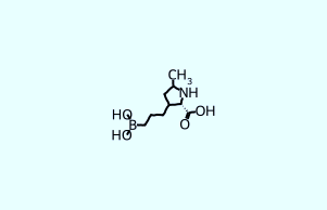 CC1CC(CCCB(O)O)[C@@H](C(=O)O)N1